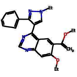 C=C(OCC)c1cc2c(-c3cn(CC)nc3-c3ccccc3)ncnc2cc1OCC